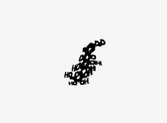 Cc1cc(OC=O)cc2c1C(=O)c1c(O)c([C@@H]3O[C@H](CO)[C@@H](O)[C@H](O)[C@H]3O)c(O)c(O)c1C2=O